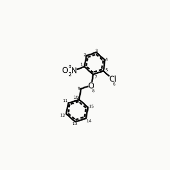 O=[N+]([O-])c1cccc(Cl)c1OCc1ccccc1